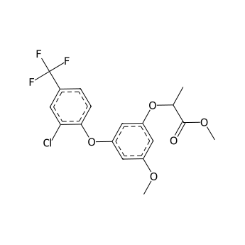 COC(=O)C(C)Oc1cc(OC)cc(Oc2ccc(C(F)(F)F)cc2Cl)c1